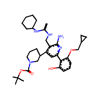 C=C(NCc1c(C2CCCN(C(=O)OC(C)(C)C)C2)cc(-c2c(O)cccc2OCC2CC2)nc1N)NC1CCCCC1